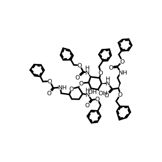 O=C(NCC[C@@H](OCc1ccccc1)C(=O)N[C@@H]1C(OCc2ccccc2)[C@H](NC(=O)OCc2ccccc2)C(O[C@H]2OC(CNC(=O)OCc3ccccc3)CCC2NC(=O)OCc2ccccc2)C(O)[C@H]1O)OCc1ccccc1